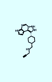 C#CCNC[C@H]1CC[C@H](C2=C3c4cc[nH]c4N=CN3NN2)CC1